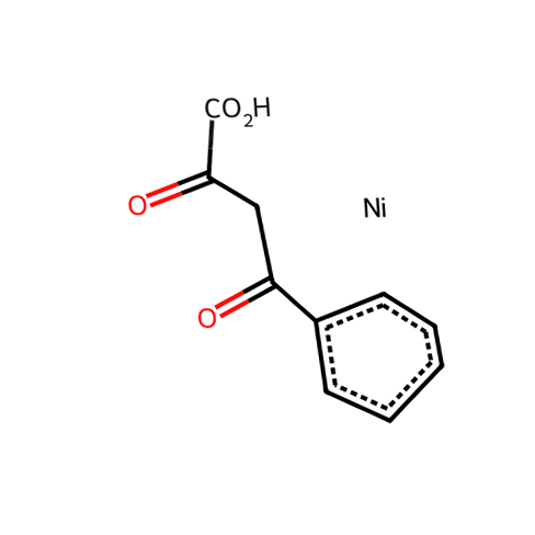 O=C(O)C(=O)CC(=O)c1ccccc1.[Ni]